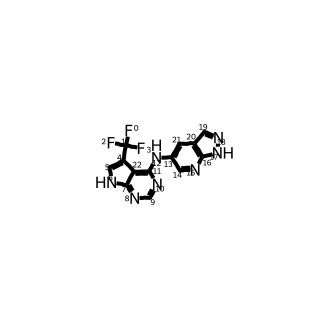 FC(F)(F)c1c[nH]c2ncnc(Nc3cnc4[nH]ncc4c3)c12